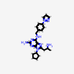 CC(N)Cc1nc2c(NCc3ccc(-n4cccn4)cc3)nc(N)nc2n1C1CCCC1